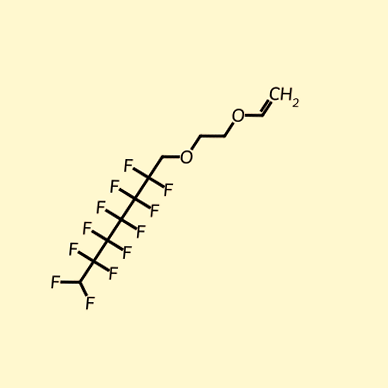 C=COCCOCC(F)(F)C(F)(F)C(F)(F)C(F)(F)C(F)(F)C(F)F